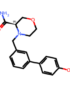 NC(=O)[C@H]1COCCN1Cc1cccc(-c2ccc(O)cc2)c1